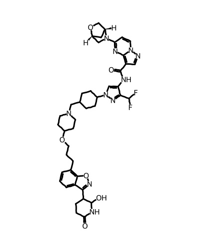 O=C1CCC(c2noc3c(CCCOC4CCN(CC5CCC(n6cc(NC(=O)c7cnn8ccc(N9C[C@H]%10C[C@@H]9CO%10)nc78)c(C(F)F)n6)CC5)CC4)cccc23)C(O)N1